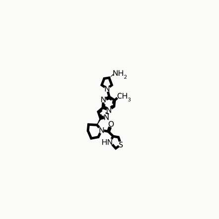 Cc1cn2nc([C@@H]3CCCCN3C(=O)C3CSCN3)cc2nc1N1CC[C@H](N)C1